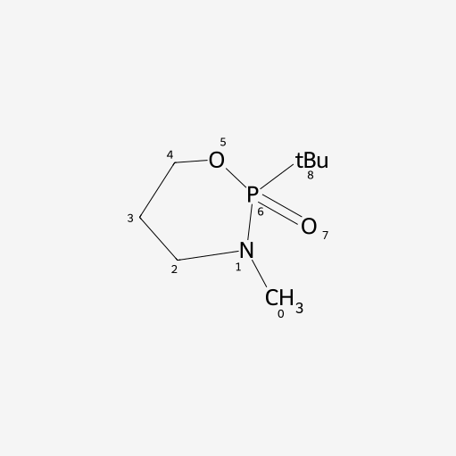 CN1CCCOP1(=O)C(C)(C)C